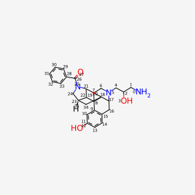 NCC(O)CN1CCC23c4cc(O)ccc4CC1C21CCC2C3[C@@H](CN2C(=O)c2ccccc2)C1